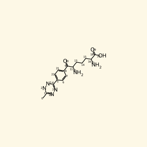 Cc1nnc(-c2ccc(C(=O)C(N)CCCC(N)C(=O)O)cc2)nn1